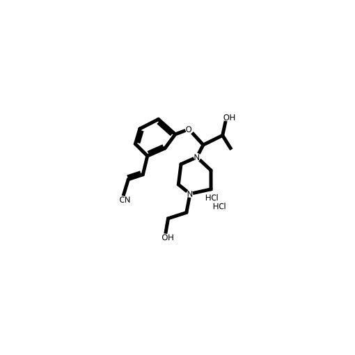 CC(O)C(Oc1cccc(C=CC#N)c1)N1CCN(CCO)CC1.Cl.Cl